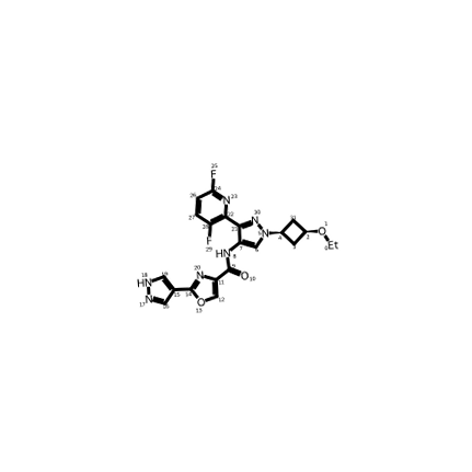 CCO[C@H]1C[C@@H](n2cc(NC(=O)c3coc(-c4cn[nH]c4)n3)c(-c3nc(F)ccc3F)n2)C1